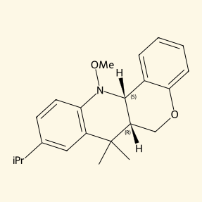 CON1c2ccc(C(C)C)cc2C(C)(C)[C@H]2COc3ccccc3[C@H]21